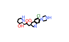 O=C(CC1C=Nc2cc(N3CCNCC3)c(Cl)cc2C1=O)C[C@@H]1NCCC[C@H]1O